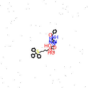 O=C(Nc1ncnc2c1ncn2[C@@H]1O[C@H](CO)[C@@H](OCCCCCCSC(c2ccccc2)(c2ccccc2)c2ccccc2)[C@H]1O)c1ccccc1